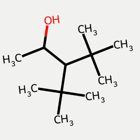 CC(O)C(C(C)(C)C)C(C)(C)C